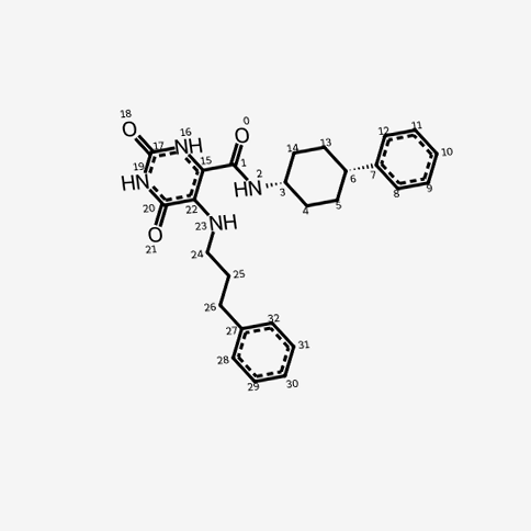 O=C(N[C@H]1CC[C@@H](c2ccccc2)CC1)c1[nH]c(=O)[nH]c(=O)c1NCCCc1ccccc1